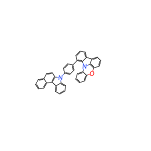 c1ccc2c(c1)Oc1cccc3c4cccc(-c5ccc(-n6c7ccccc7c7c8ccccc8ccc76)cc5)c4n-2c13